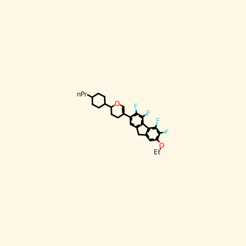 CCCC1CCC(C2CCC(c3cc4c(c(F)c3F)-c3c(cc(OCC)c(F)c3F)C4)=CO2)CC1